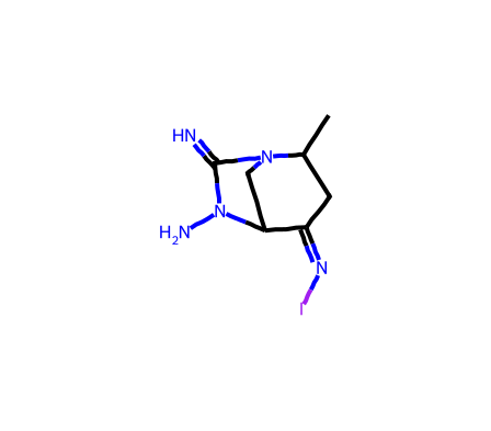 CC1C/C(=N/I)C2CN1C(=N)N2N